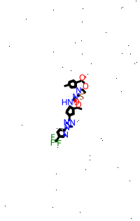 COC(C)c1ccc(C)cc1N1C(=O)CS/C1=N\C(=O)Nc1ccc(-c2ncn(-c3ccc(C(F)(F)F)cn3)n2)cc1C(C)=O